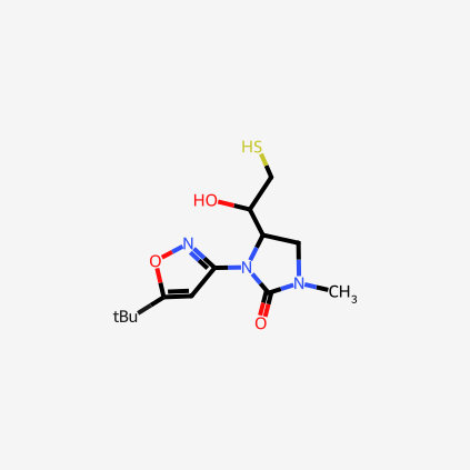 CN1CC(C(O)CS)N(c2cc(C(C)(C)C)on2)C1=O